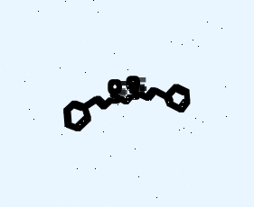 [O-][S+](/C=C/c1ccccc1)C[S+]([O-])/C=C/c1ccccc1